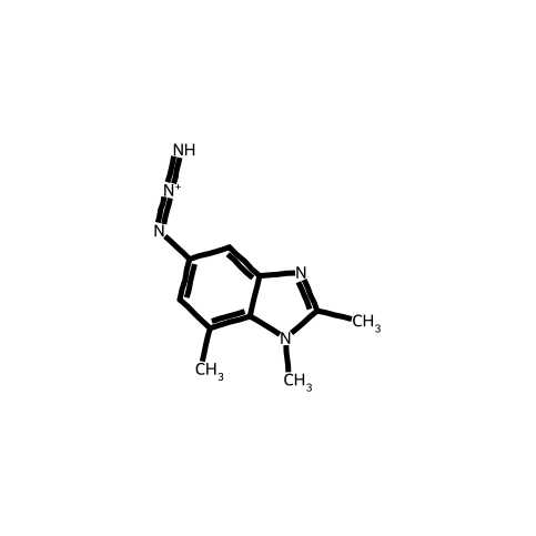 Cc1cc(N=[N+]=N)cc2nc(C)n(C)c12